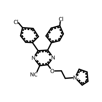 N#Cc1nc(-c2ccc(Cl)cc2)c(-c2ccc(Cl)cc2)nc1OCCn1cccc1